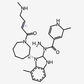 CNC/C=C/C(=O)N1CCCC[C@@H](N2c3c(C)cccc3NC2N(N)C(=O)C2=CC(C)NC=C2)C1